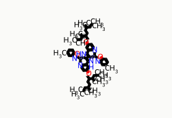 Cc1ccc2oc(/C(C#N)=c3\[nH]c(-c4cccc(OCC(CCC(C)CC(C)(C)C)C(C)CC(C)(C)C)c4)c4/c(=C(\C#N)c5nc6cc(C)ccc6o5)[nH]c(-c5cccc(OCC(CCC(C)CC(C)(C)C)C(C)CC(C)(C)C)c5)c34)nc2c1